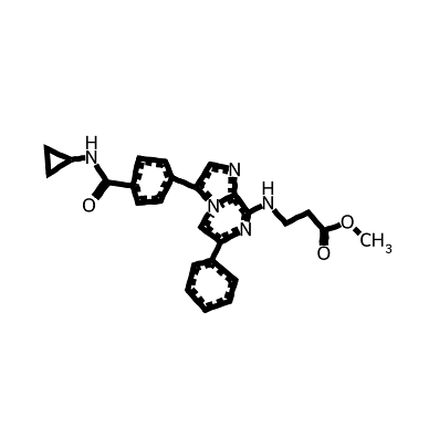 COC(=O)CCNc1nc(-c2ccccc2)cn2c(-c3ccc(C(=O)NC4CC4)cc3)cnc12